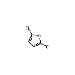 Clc1ccc(Cl)o1